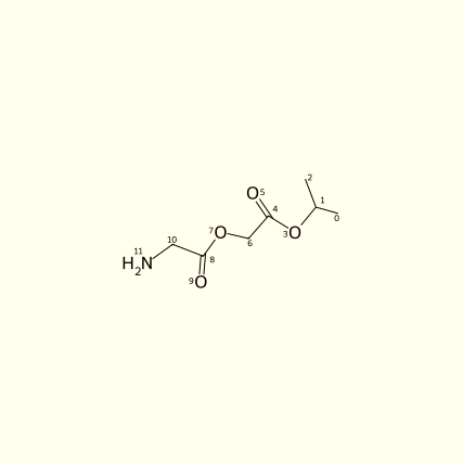 CC(C)OC(=O)COC(=O)CN